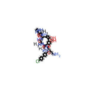 C[C@@H]1NC(=O)[C@@H](N(C)C(=O)[C@H](CCCCN)NC(=O)c2ccc(-c3ccc(Cl)cc3)cc2)c2ccc(O)c(c2)-c2cc(ccc2O)C[C@@H](C(=O)N[C@@H](C)C(=O)c2ncc[nH]2)NC1=O